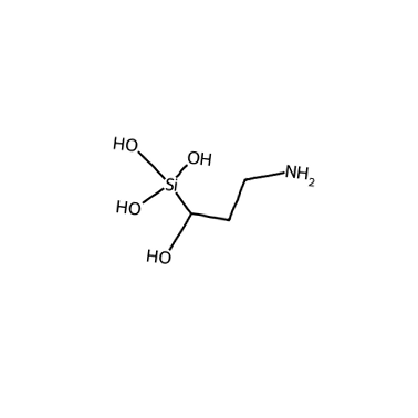 NCCC(O)[Si](O)(O)O